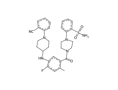 Cc1cc(F)c(NC2CCN(c3ccccc3C#N)CC2)cc1C(=O)N1CCN(c2ccccc2S(N)(=O)=O)CC1